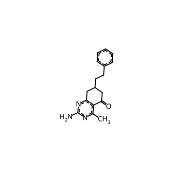 Cc1nc(N)nc2c1C(=O)CC(CCc1ccccc1)C2